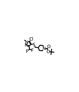 Cn1nc(C(F)F)c(SCC2CCN(C(=O)OC(C)(C)C)CC2)c1Cl